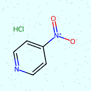 Cl.O=[N+]([O-])c1ccncc1